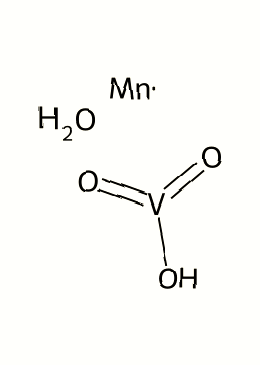 O.[Mn].[O]=[V](=[O])[OH]